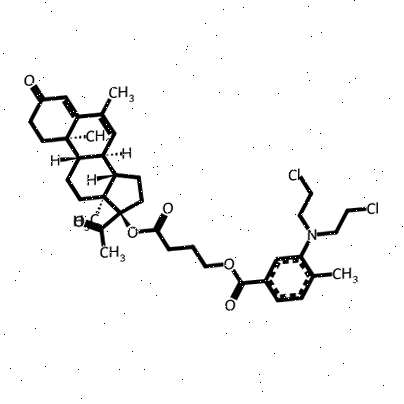 CC(=O)[C@@]1(OC(=O)CCCOC(=O)c2ccc(C)c(N(CCCl)CCCl)c2)CC[C@H]2[C@@H]3C=C(C)C4=CC(=O)CC[C@]4(C)[C@H]3CC[C@@]21C